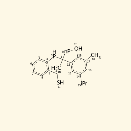 CCCC(C)(Pc1ccccc1CS)c1cc(C(C)C)cc(C)c1O